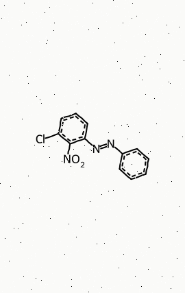 O=[N+]([O-])c1c(Cl)cccc1N=Nc1ccccc1